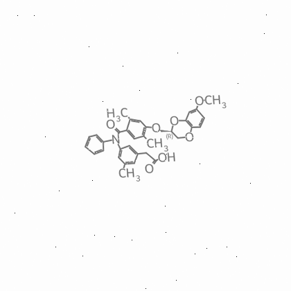 COc1ccc2c(c1)O[C@H](COc1cc(C)c(C(=O)N(c3ccccc3)c3cc(C)cc(CC(=O)O)c3)cc1C)CO2